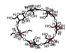 CCOC[C@H]1O[C@@H]2O[C@H]3[C@H](O)[C@@H](O)[C@@H](O[C@H]4[C@H](O)[C@@H](O)[C@@H](O[C@H]5[C@H](O)[C@@H](O)[C@@H](O[C@H]6[C@H](O)[C@@H](O)[C@@H](O[C@H]7[C@H](O)[C@@H](O)[C@@H](O[C@H]8[C@H](O)[C@@H](O)[C@@H](O[C@H]1[C@H](O)[C@H]2OCC)O[C@@H]8CO)O[C@@H]7CO)O[C@@H]6CO)O[C@@H]5CO)O[C@@H]4CO)O[C@@H]3CO